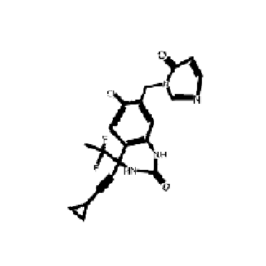 CC(F)(F)C1(C#CC2CC2)NC(=O)Nc2cc(Cn3cnccc3=O)c(Cl)cc21